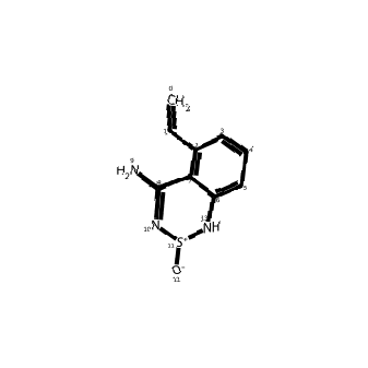 C=Cc1cccc2c1C(N)=N[S+]([O-])N2